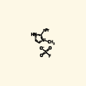 CCCc1[nH]cc[n+]1C.O=S(=O)([O-])F